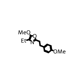 CCc1nc(CCc2ccc(OC)cc2)oc1OC